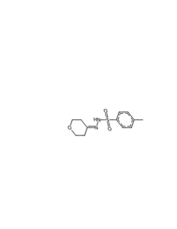 Cc1ccc(S(=O)(=O)NN=C2CCOCC2)cc1